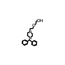 OCCOCCN1CCN(C(c2ccccc2)c2ccccc2)CC1